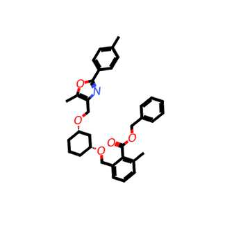 Cc1ccc(-c2nc(CO[C@H]3CCC[C@@H](OCc4cccc(C)c4C(=O)OCc4ccccc4)C3)c(C)o2)cc1